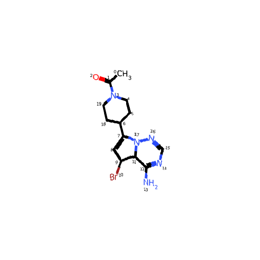 CC(=O)N1CCC(C2=CC(Br)C3C(N)=NC=NN23)CC1